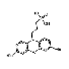 CC(C)(C)c1ccc2c(c1)Sc1cc(C(C)(C)C)ccc1N2CCCP(=O)(O)O